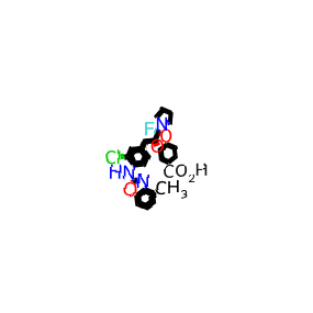 Cc1cccc2oc(Nc3ccc(CC(=O)C(F)(OC4CCC(C(=O)O)CC4)N4CCCC4)cc3Cl)nc12